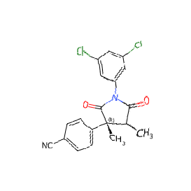 CC1C(=O)N(c2cc(Cl)cc(Cl)c2)C(=O)[C@@]1(C)c1ccc(C#N)cc1